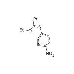 CCO/C(=N\c1ccc([N+](=O)[O-])cc1)C(C)C